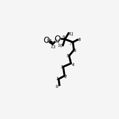 CCCCCCCC(C)C(C)(C)OC=O